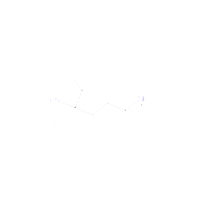 CCOC(=O)[C@](N)(CO)CCCN